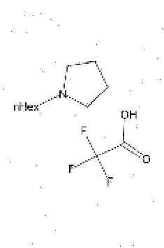 CCCCCCN1CCCC1.O=C(O)C(F)(F)F